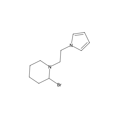 BrC1CCCCN1CCn1cccc1